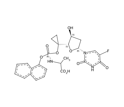 CC(N[P@@](=O)(Oc1cccc2ccccc12)OC1([C@H]2O[C@@H](n3cc(F)c(=O)[nH]c3=O)C[C@@H]2O)CC1)C(=O)O